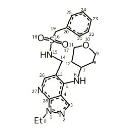 CCn1ncc2c(NC3CCOCC3)c(CNS(=O)(=O)Cc3ccccc3)cnc21